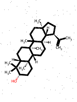 C=C(C)[C@@H]1CC[C@]2(C)CCC3(C)[C@H](CC[C@@H]4[C@@]5(C)CC[C@H](O)C(C)(C)[C@@H]5CC[C@]43C)[C@@H]12